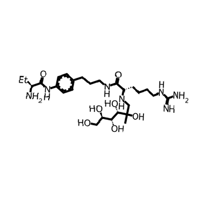 CC[C@H](N)C(=O)Nc1ccc(CCCNC(=O)[C@H](CCCCNC(=N)N)NCC(C)(O)[C@@H](O)[C@H](O)[C@H](O)CO)cc1